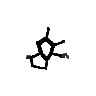 Cc1c(F)c(F)cc2c1SCN2